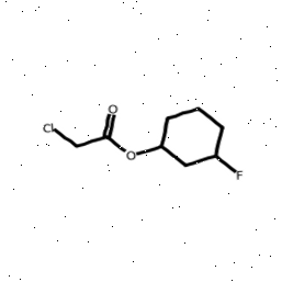 O=C(CCl)OC1CCCC(F)C1